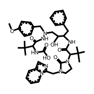 COc1ccc(CN(CC(O)C(Cc2ccccc2)NC(=O)C(N2CCN(Cc3ncc4ccccn34)C2=O)C(C)(C)C)NC(=O)C(NC(=O)O)C(C)(C)C)cc1